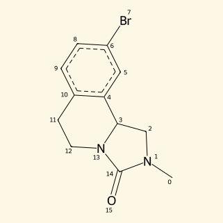 CN1CC2c3cc(Br)ccc3CCN2C1=O